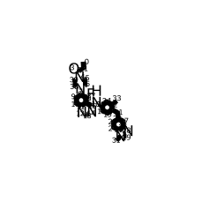 C=CC(=O)N1CCN(c2ccc3ncnc(Nc4ccc(Cc5ccc6c(c5)ncn6C)c(C)c4)c3c2F)CC1